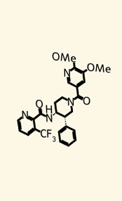 COc1cc(C(=O)N2CC[C@@H](NC(=O)c3ncccc3C(F)(F)F)[C@@H](c3ccccc3)C2)cnc1OC